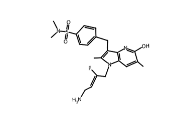 Cc1cc2c(nc1O)c(Cc1ccc(S(=O)(=O)N(C)C)cc1)c(C)n2CC(F)=CCN